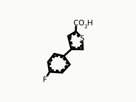 O=C(O)c1cc(-c2ccc(F)cc2)cs1